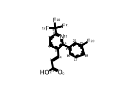 O=C(O)/C=C/c1ccc(C(F)(F)F)nc1-c1cccc(F)c1